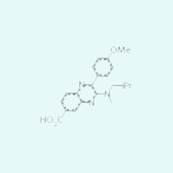 COc1ccc(-c2nc3ccc(C(=O)O)cc3nc2N(C)CC(C)C)cc1